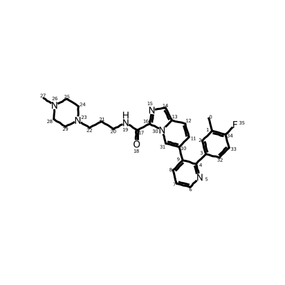 Cc1cc(-c2ncccc2-c2ccc3cnc(C(=O)NCCCN4CCN(C)CC4)n3c2)ccc1F